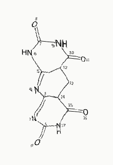 O=C1N=C2N=C3NC(=O)NC(=O)C3CC2C(=O)N1